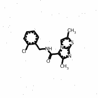 Cc1cn2c(C(=O)NCc3ccccc3Cl)c(C)nc2s1